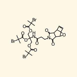 CC(C)(Br)C(=O)OCC(COC(=O)C(C)(C)Br)(NC(=O)CCN1C(=O)C2C(C1=O)C1OC13C=CC23)OC(=O)C(C)(C)Br